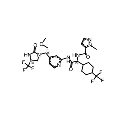 COC[C@H](c1ccnc(NC(=O)[C@@H](NC(=O)c2ccnn2C)C2CCC(C(F)(F)F)CC2)c1)N1C[C@@H](C(F)(F)F)NC1=O